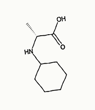 C[C@@H](NC1CCCCC1)C(=O)O